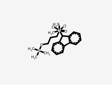 C[Si](C)(C)OCC[CH2][Ti]([CH3])(=[O])([SiH3])([Cl])([Cl])[CH]1c2ccccc2-c2ccccc21